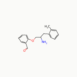 Cc1ccccc1CC(N)COc1ccccc1C=O